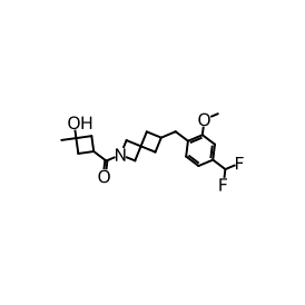 COc1cc(C(F)F)ccc1CC1CC2(C1)CN(C(=O)C1CC(C)(O)C1)C2